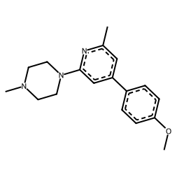 COc1ccc(-c2cc(C)nc(N3CCN(C)CC3)c2)cc1